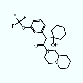 O=C([C@H](c1cccc(OC(F)(F)F)c1)C1(O)CCCCC1)N1CCN2CCCCC2C1